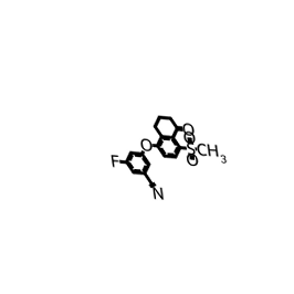 CS(=O)(=O)c1ccc(Oc2cc(F)cc(C#N)c2)c2c1C(=O)CCC2